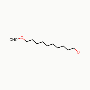 [O]CCCCCCCCCCOC=O